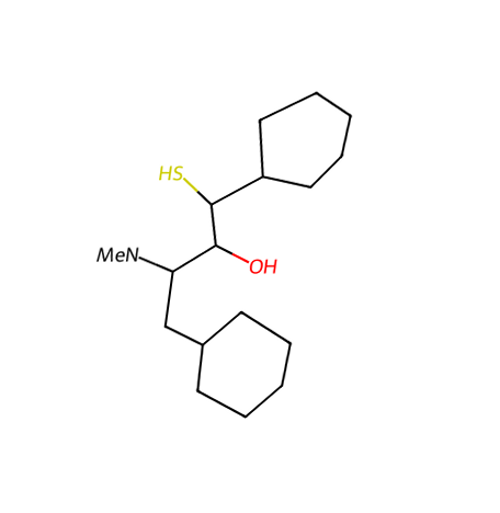 CNC(CC1CCCCC1)C(O)C(S)C1CCCCC1